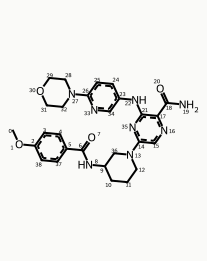 COc1ccc(C(=O)NC2CCCN(c3cnc(C(N)=O)c(Nc4ccc(N5CCOCC5)nc4)n3)C2)cc1